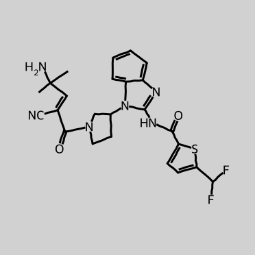 CC(C)(N)C=C(C#N)C(=O)N1CCC(n2c(NC(=O)c3ccc(C(F)F)s3)nc3ccccc32)C1